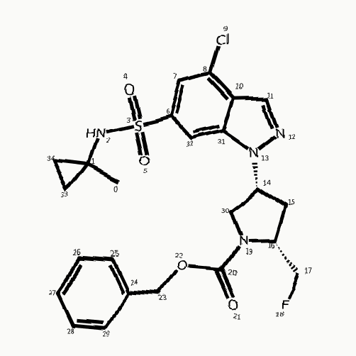 CC1(NS(=O)(=O)c2cc(Cl)c3cnn([C@@H]4C[C@H](CF)N(C(=O)OCc5ccccc5)C4)c3c2)CC1